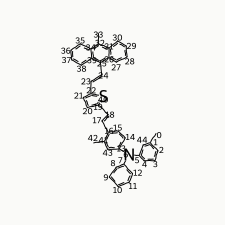 Cc1cccc(N(c2ccccc2)c2ccc(C=Cc3ccc(C=Cc4c5ccccc5c(C)c5ccccc45)s3)c(C)c2)c1